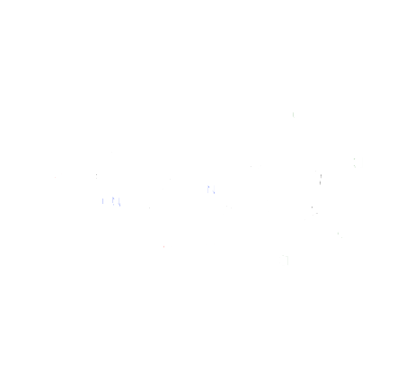 O=C1CCC(N2Cc3c(Cl)c(Cl)c(Cl)c(Cl)c3C2=O)C(=O)N1